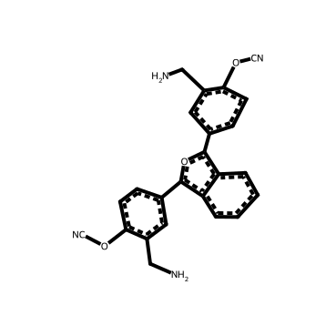 N#COc1ccc(-c2oc(-c3ccc(OC#N)c(CN)c3)c3ccccc23)cc1CN